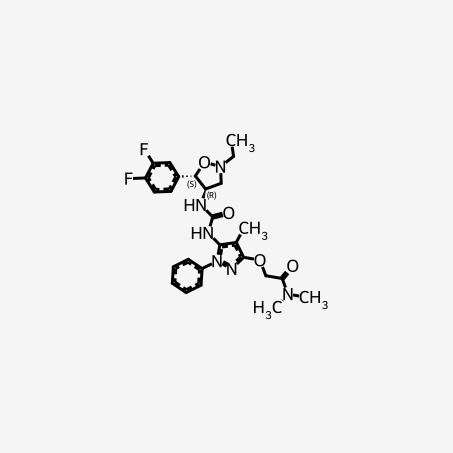 CCN1C[C@@H](NC(=O)Nc2c(C)c(OCC(=O)N(C)C)nn2-c2ccccc2)[C@H](c2ccc(F)c(F)c2)O1